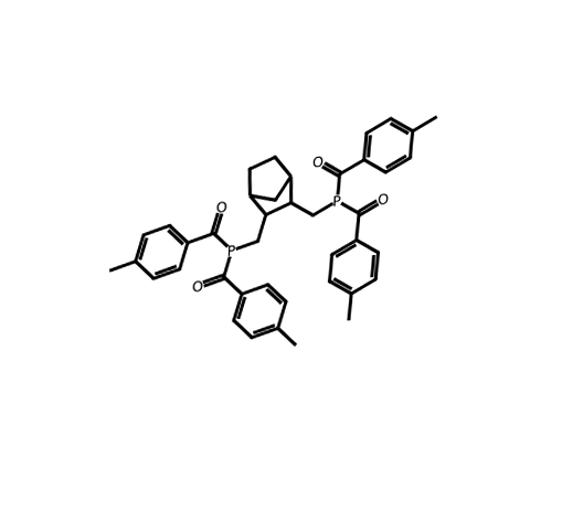 Cc1ccc(C(=O)P(CC2C3CCC(C3)C2CP(C(=O)c2ccc(C)cc2)C(=O)c2ccc(C)cc2)C(=O)c2ccc(C)cc2)cc1